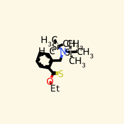 CCOC(=S)c1ccccc1CN([Si](C)(C)C)[Si](C)(C)C